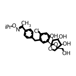 CC(=NOC(C)C)c1ccc(Cc2cc([C@]34OC[C@](CO)(O3)[C@@H](O)[C@H](O)[C@H]4O)ccc2Cl)cc1